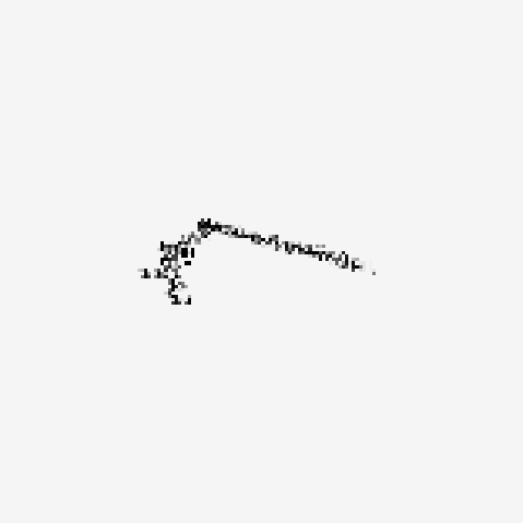 CC(C)(C)OC(=O)CC[C@H](NC(=O)N[C@@H](CCCCn1cc(COCCOCCOCCOCCOCCOCCOCCOCCN)nn1)C(C)(C)C)C(=O)OC(C)(C)C